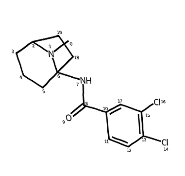 CN1C2CCCC1(NC(=O)c1ccc(Cl)c(Cl)c1)CC2